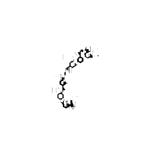 Cc1c(C(=O)N(C=O)C2CCC(O)NC2=O)cccc1N1CCC(CNCCNc2ccc(C(=O)N[C@H]3CC[C@H](Oc4ccc5nnc(C(F)(F)F)n5n4)CC3)cn2)CC1